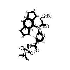 CN(C)S(=O)(=O)NC(=O)c1cnc(N(C(=O)OC(C)(C)C)c2c3c(cc4c2CCC4)CCC3)o1